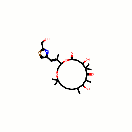 C/C(=C\c1csc(CO)n1)C1COC(C)(C)CCCC(C)C(O)C(C)C(=O)C(C)(C)C(O)CC(=O)O1